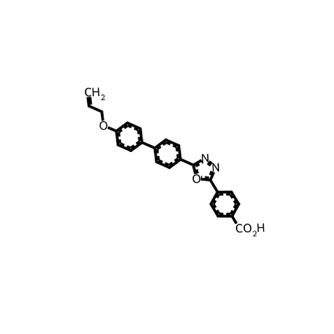 C=CCOc1ccc(-c2ccc(-c3nnc(-c4ccc(C(=O)O)cc4)o3)cc2)cc1